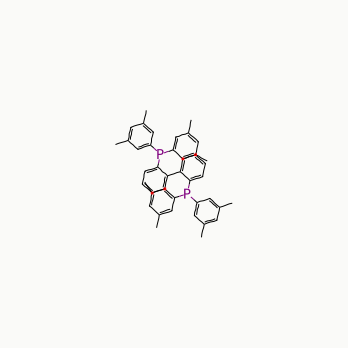 Cc1cc(C)cc(P(c2cc(C)cc(C)c2)c2ccccc2-c2ccccc2P(c2cc(C)cc(C)c2)c2cc(C)cc(C)c2)c1